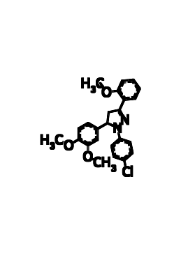 COc1ccc(C2CC(c3ccccc3OC)=NN2c2ccc(Cl)cc2)cc1OC